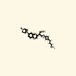 CN1CC2CC1CN2c1ccc2ncc(/C(C=N)=C/NC3CC(CCCN)C3)nc2c1